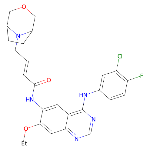 CCOc1cc2ncnc(Nc3ccc(F)c(Cl)c3)c2cc1NC(=O)/C=C/CN1C2CCC1COC2